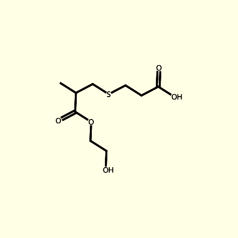 CC(CSCCC(=O)O)C(=O)OCCO